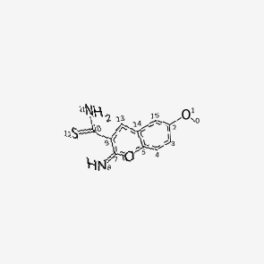 COc1ccc2oc(=N)c(C(N)=S)cc2c1